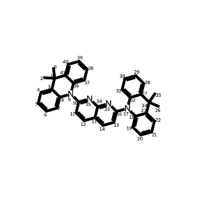 CC1(C)c2ccccc2N(c2ccc3ccc(N4c5ccccc5C(C)(C)c5ccccc54)nc3n2)c2ccccc21